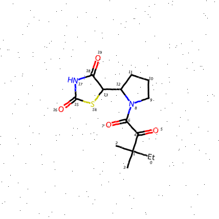 CCC(C)(C)C(=O)C(=O)N1CCCC1C1SC(=O)NC1=O